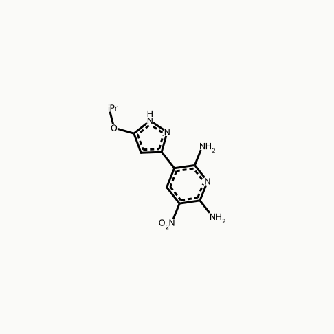 CC(C)Oc1cc(-c2cc([N+](=O)[O-])c(N)nc2N)n[nH]1